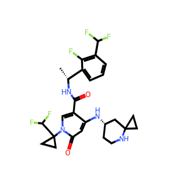 C[C@@H](NC(=O)c1cn(C2(C(F)F)CC2)c(=O)cc1N[C@H]1CCNC2(CC2)C1)c1cccc(C(F)F)c1F